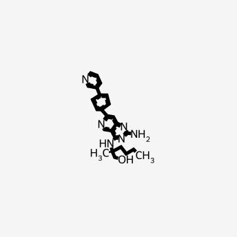 CCCC[C@](C)(CO)Nc1nc(N)nc2cc(-c3ccc(-c4cccnc4)cc3)ncc12